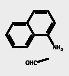 CC=O.Nc1cccc2ccccc12